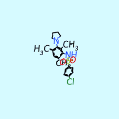 Cc1cc(C)c(N2CCCC2)c(C)c1NS(=O)(=O)c1ccc(Cl)cc1